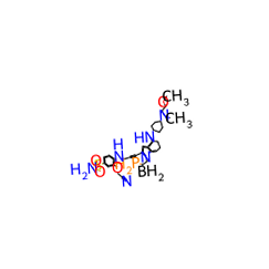 BC(P)Cn1c(C#CCNc2ccc(S(N)(=O)=O)cc2OCC#N)cc2c1=CCCC=2NC1CCC(N(C)CCOC)CC1